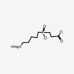 CCCCCCCCCCCCP(=O)(Cl)CCC(=O)Cl